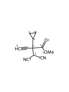 C#CC(C(=O)OC)(C(C#N)C#N)C1CC1